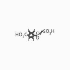 O=C(O)c1c(I)c(I)c(C(=O)OCCS(=O)(=O)O)c(I)c1I